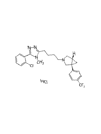 Cl.Cn1c(CCCCN2C[C@@H]3C[C@]3(c3ccc(C(F)(F)F)cc3)C2)nnc1-c1ccccc1Cl